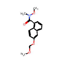 COCOc1ccc2c(C(=O)N(C)OC)cccc2c1